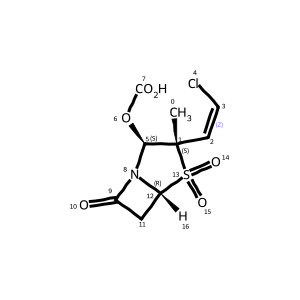 C[C@]1(/C=C\Cl)[C@H](OC(=O)O)N2C(=O)C[C@H]2S1(=O)=O